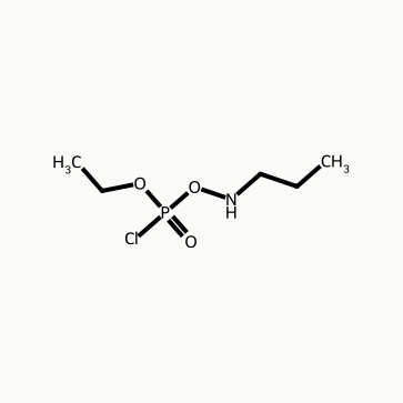 CCCNOP(=O)(Cl)OCC